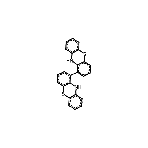 c1ccc2c(c1)Nc1c(cccc1-c1cccc3c1Nc1ccccc1S3)S2